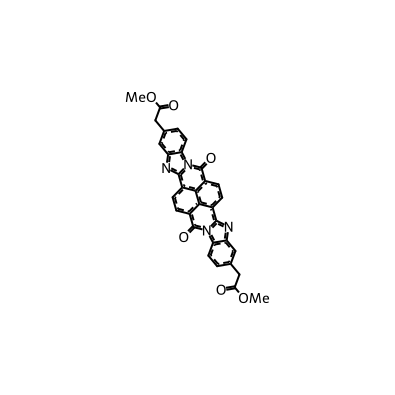 COC(=O)Cc1ccc2c(c1)nc1c3ccc4c(=O)n5c6ccc(CC(=O)OC)cc6nc5c5ccc(c(=O)n21)c3c45